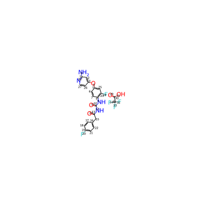 Nc1cc(Oc2ccc(NC(=O)NC(=O)Cc3ccc(F)cc3)c(F)c2)ccn1.O=C(O)C(F)(F)F